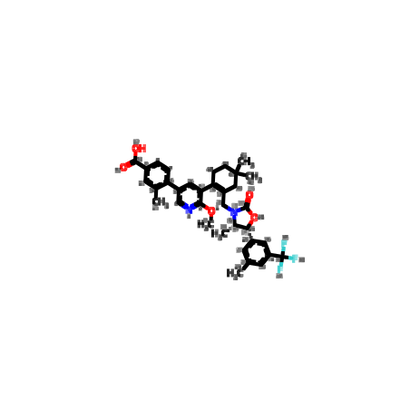 COc1ncc(-c2ccc(C(=O)O)cc2C)cc1C1=C(CN2C(=O)O[C@H](c3cc(C)cc(C(F)(F)F)c3)[C@@H]2C)CC(C)(C)CC1